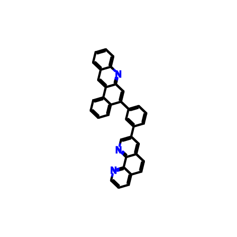 c1cc(-c2cnc3c(ccc4cccnc43)c2)cc(-c2cc3nc4ccccc4cc3c3ccccc23)c1